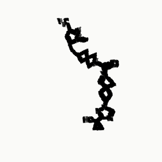 Cn1nc(C(F)(F)F)cc1CC1CC2(C1)CN(C(=O)N1CC3(CC(n4cnc(C5(O)CC5)n4)C3)C1)C2